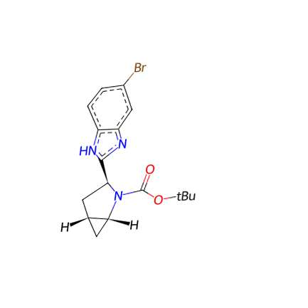 CC(C)(C)OC(=O)N1[C@@H]2C[C@@H]2C[C@H]1c1nc2cc(Br)ccc2[nH]1